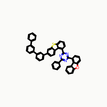 c1ccc(-c2cccc(-c3cccc(-c4ccc5c(c4)sc4cccc(-c6nc(-c7ccccc7)nc(-c7cccc8oc9ccccc9c78)n6)c45)c3)c2)cc1